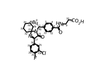 CCCC[C@H](c1ccc(C(=O)NCCC(=O)O)cc1)N1C(=O)C(c2ccc(F)c(Cl)c2)=NC12CCCCC2